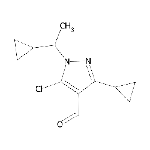 CC(C1CC1)n1nc(C2CC2)c(C=O)c1Cl